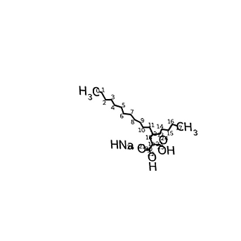 CCCCCCCCCCCCC(CCCCC)CC(C(=O)O)C(=O)O.[NaH]